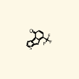 O=C1C=CC(C(F)(F)F)=C2C=c3sccc3=C12